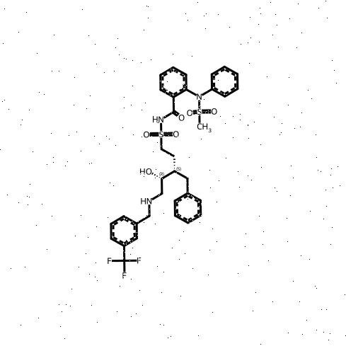 CS(=O)(=O)N(c1ccccc1)c1ccccc1C(=O)NS(=O)(=O)CC[C@H](Cc1ccccc1)[C@@H](O)CNCc1cccc(C(F)(F)F)c1